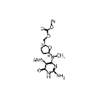 CSc1c(N(C)[C@H]2CC[C@@H](COC(=O)OC(C)C)O2)nc(N)[nH]c1=O